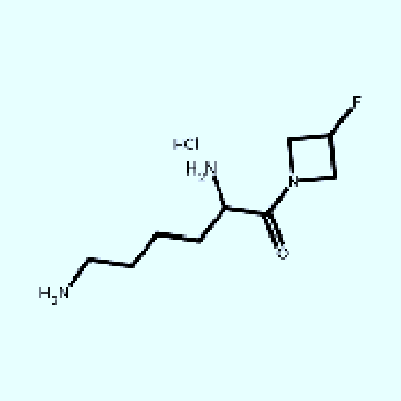 Cl.NCCCCC(N)C(=O)N1CC(F)C1